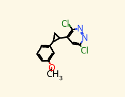 COc1cccc(C2CC2c2cc(Cl)nnc2Cl)c1